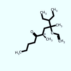 C=COC(C)(C[C@@H](C)C(=O)CCCC)C(CC)CC